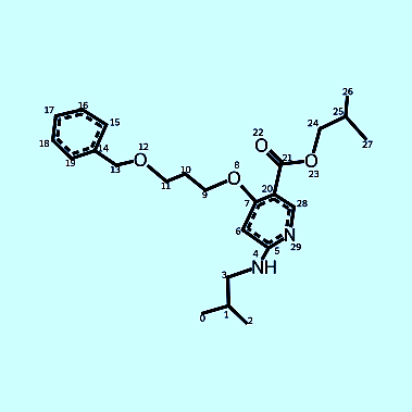 CC(C)CNc1cc(OCCCOCc2ccccc2)c(C(=O)OCC(C)C)cn1